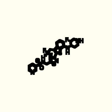 O=S(=O)(NCc1nc(-c2sc3c(N[C@@H]4CCNC[C@@H]4F)cccc3c2CC(F)(F)F)no1)c1cccnc1